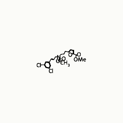 COC(=O)c1ccc(CCCN(CC=Cc2cc(Cl)cc(Cl)c2)S(C)(=O)=O)o1